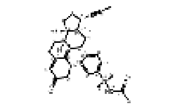 CC#C[C@H]1CC[C@H]2[C@@H]3CCC4=CC(=O)CCC4=C3[C@@H](c3ccc([N+](C)(C)NC(C)=O)cc3)C[C@]12C